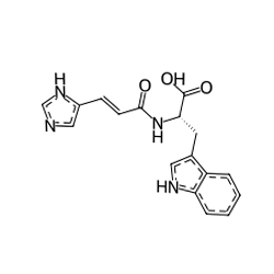 O=C(C=Cc1cnc[nH]1)N[C@@H](Cc1c[nH]c2ccccc12)C(=O)O